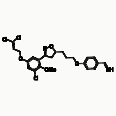 COc1c(Cl)cc(OCC=C(Cl)Cl)cc1C1=NOC(CCCOc2ccc(C=N)cc2)C1